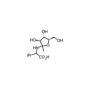 CC(C)C(NC1(C)O[C@H](CO)[C@@H](O)[C@@H]1O)C(=O)O